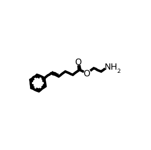 NCCOC(=O)CCC=Cc1ccccc1